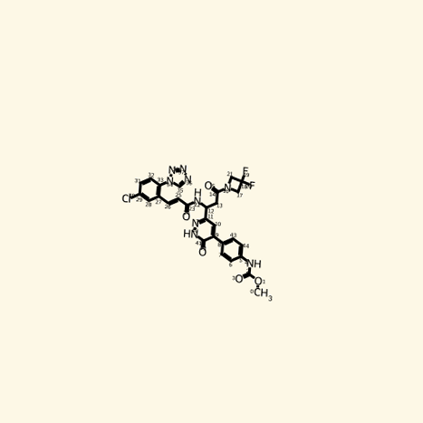 COC(=O)Nc1ccc(-c2cc(C(CC(=O)N3CC(F)(F)C3)NC(=O)/C=C/c3cc(Cl)ccc3-n3cnnn3)n[nH]c2=O)cc1